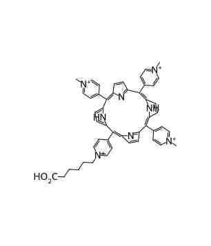 C[n+]1ccc(-c2c3nc(c(-c4cc[n+](C)cc4)c4ccc([nH]4)c(-c4cc[n+](CCCCCC(=O)O)cc4)c4nc(c(-c5cc[n+](C)cc5)c5ccc2[nH]5)C=C4)C=C3)cc1